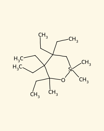 CCC1(CC)C[Si](C)(C)OC(C)(CC)C1(CC)CC